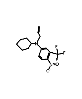 C=CCN(c1ccc([N+](=O)[O-])c(C(F)(F)F)c1)C1CCCCC1